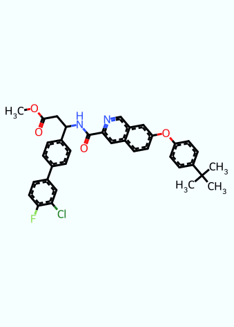 COC(=O)CC(NC(=O)c1cc2ccc(Oc3ccc(C(C)(C)C)cc3)cc2cn1)c1ccc(-c2ccc(F)c(Cl)c2)cc1